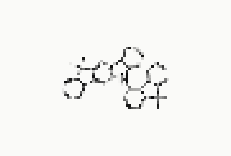 CC1(C)c2ccccc2-c2cc3c(cc21)c1ccccc1n3-c1cccc2c1-c1ccccc1C2(C)C